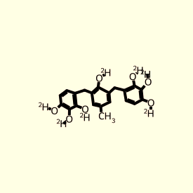 [2H]Oc1ccc(Cc2cc(C)cc(Cc3ccc(O[2H])c(O[2H])c3O[2H])c2O[2H])c(O[2H])c1O[2H]